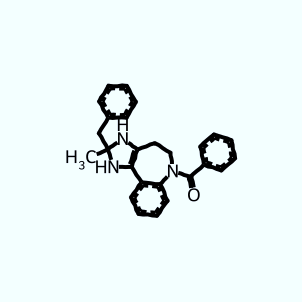 CC1(Cc2ccccc2)NC2=C(N1)c1ccccc1N(C(=O)c1ccccc1)CC2